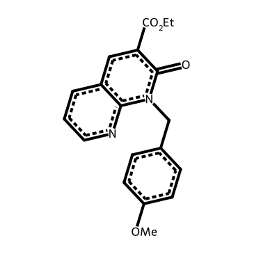 CCOC(=O)c1cc2cccnc2n(Cc2ccc(OC)cc2)c1=O